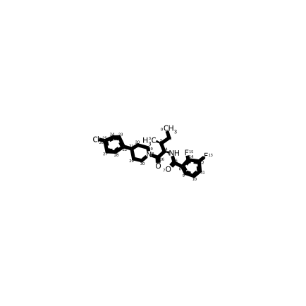 CC[C@H](C)[C@@H](NC(=O)c1cccc(F)c1F)C(=O)N1CCC(c2ccc(Cl)cc2)CC1